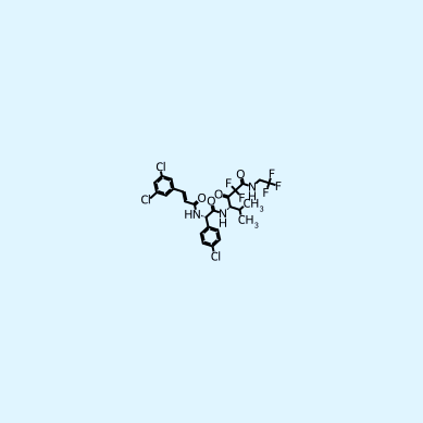 CC(C)[C@H](NC(=O)[C@@H](NC(=O)/C=C/c1cc(Cl)cc(Cl)c1)c1ccc(Cl)cc1)C(=O)C(F)(F)C(=O)NCC(F)(F)F